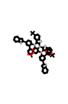 CC(C)c1cc2c3c(c1)N(c1ccc(-c4cc5ccccc5s4)cc1-c1ccccc1)c1c(oc4ccc(C(C)(C)C)cc14)B3c1oc3ccc(C(C)(C)C)cc3c1N2c1ccc(-c2cc3ccccc3s2)cc1-c1ccccc1